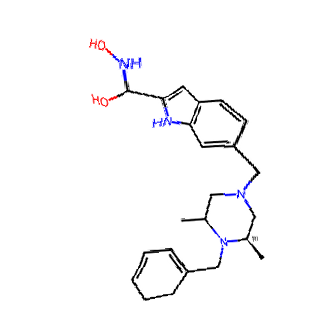 CC1CN(Cc2ccc3cc(C(O)NO)[nH]c3c2)C[C@@H](C)N1CC1=CC=CCC1